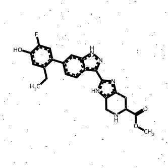 CCc1cc(O)c(F)cc1-c1ccc2c(-c3nc4c([nH]3)CNC(C(=O)OC)C4)n[nH]c2c1